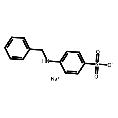 O=S(=O)([O-])c1ccc(NCc2ccccc2)cc1.[Na+]